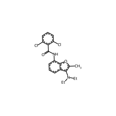 CCN(CC)c1c(C)oc2c(NC(=O)c3c(Cl)cccc3Cl)cccc12